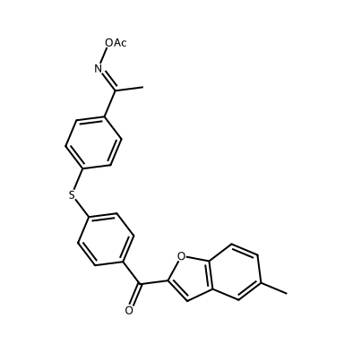 CC(=O)ON=C(C)c1ccc(Sc2ccc(C(=O)c3cc4cc(C)ccc4o3)cc2)cc1